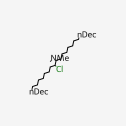 CCCCCCCCCCCCCCCCCCC(Cl)CCCCCCCCCCCCCCCCC.CNC